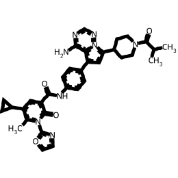 Cc1c(C2CC2)cc(C(=O)Nc2ccc(-c3cc(C4CCN(C(=O)C(C)C)CC4)n4ncnc(N)c34)cc2)c(=O)n1-c1ncco1